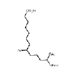 CCCCCC(CCCC(CCCCCCC(=O)OCC)C(C)=O)OC(C)=O